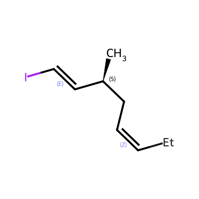 CC/C=C\C[C@H](C)/C=C/I